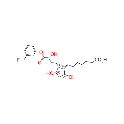 O=C(O)CCCCCC[C@@H]1[C@@H](CCC(O)C(=O)Oc2cccc(CF)c2)[C@H](O)C[C@@H]1O